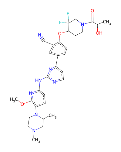 COc1nc(Nc2nccc(-c3ccc(OC4CCN(C(=O)C(C)O)CC4(F)F)c(C#N)c3)n2)ccc1N1CCN(C)CC1C